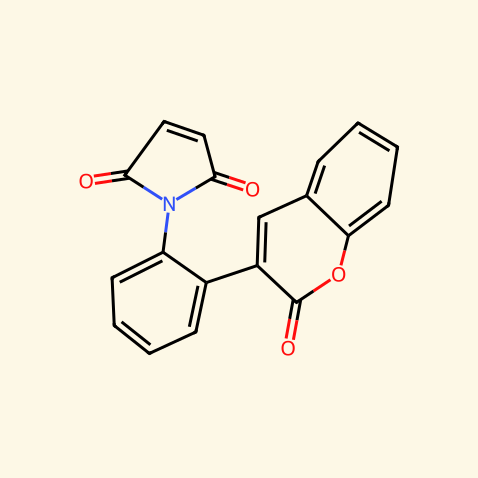 O=C1C=CC(=O)N1c1ccccc1-c1cc2ccccc2oc1=O